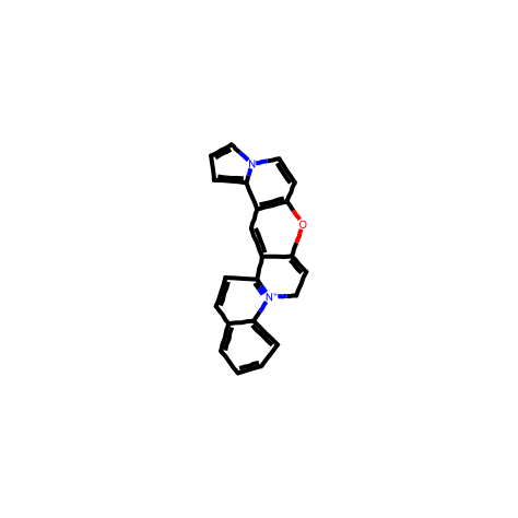 C1=C2Oc3ccn4cccc4c3C=C2c2ccc3ccccc3[n+]2C1